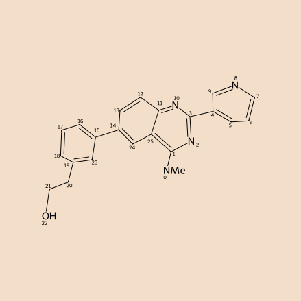 CNc1nc(-c2cccnc2)nc2ccc(-c3cccc(CCO)c3)cc12